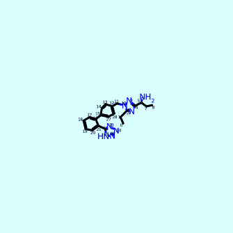 CCc1nc(C(N)CC)nn1Cc1ccc(-c2ccccc2-c2nnn[nH]2)cc1